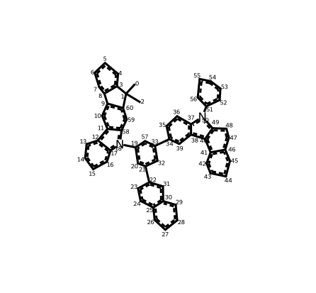 CC1(C)c2ccccc2-c2cc3c4ccccc4n(-c4cc(-c5ccc6ccccc6c5)cc(-c5ccc6c(c5)c5c7ccccc7ccc5n6-c5ccccc5)c4)c3cc21